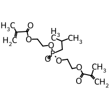 C=C(C)C(=O)OCCOP(=O)(CC(C)C)OCCOC(=O)C(=C)C